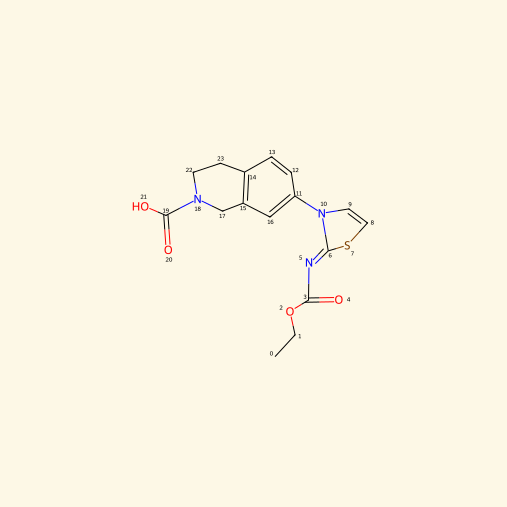 CCOC(=O)/N=c1\sccn1-c1ccc2c(c1)CN(C(=O)O)CC2